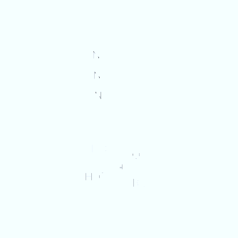 CC(C)(C)[Si](C)(C)OC1[CH]C(N=[N+]=[N-])CCC1